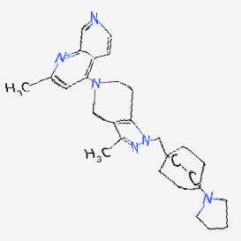 Cc1cc(N2CCc3c(c(C)nn3CC34CCC(N5CCCC5)(CC3)CC4)C2)c2ccncc2n1